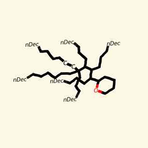 CCCCCCCCCCCCCCCCC(CCCCCCCCCCCCC)(CCCCCCCCCCCCCCCC)C(CCCCCCCCCCCCC)C(CCCCCCCCCCCCC)C(CCCCCCCCCCCCC)C1CCCCO1